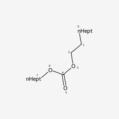 CCCCCCCCCOC(=O)OCCCCCCC